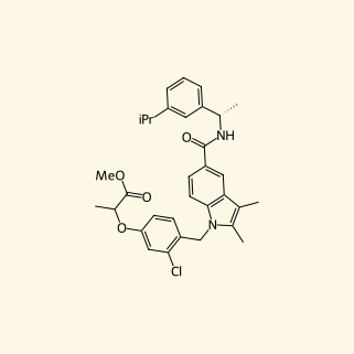 COC(=O)C(C)Oc1ccc(Cn2c(C)c(C)c3cc(C(=O)N[C@@H](C)c4cccc(C(C)C)c4)ccc32)c(Cl)c1